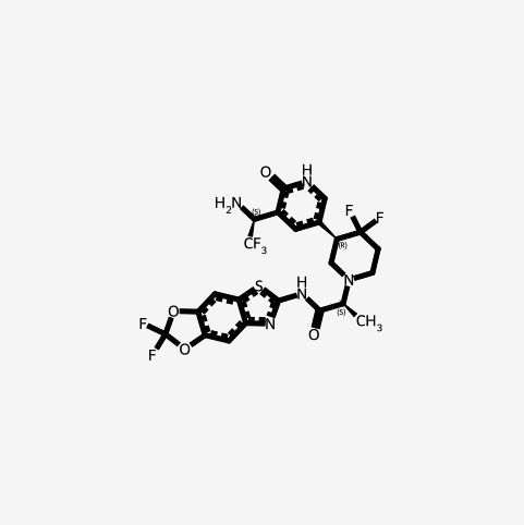 C[C@@H](C(=O)Nc1nc2cc3c(cc2s1)OC(F)(F)O3)N1CCC(F)(F)[C@H](c2c[nH]c(=O)c([C@H](N)C(F)(F)F)c2)C1